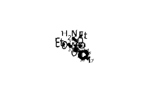 CCOCCN(C(CN)OCC)S(=O)(=O)c1ccc(I)cc1